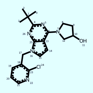 CC(C)(C)c1nc(N2CCC(O)C2)c2ccn(Cc3cccnc3Cl)c2n1